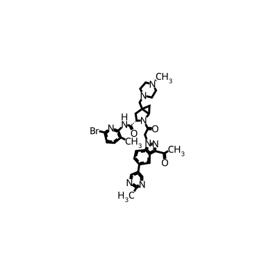 CC(=O)c1nn(CC(=O)N2C3CC3(CN3CCN(C)CC3)C[C@H]2C(=O)Nc2nc(Br)ccc2C)c2ccc(-c3cnc(C)nc3)cc12